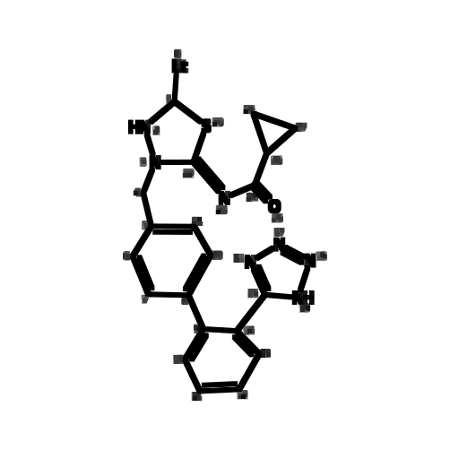 CCC1NN(Cc2ccc(-c3ccccc3-c3nnn[nH]3)cc2)C(=NC(=O)C2CC2)S1